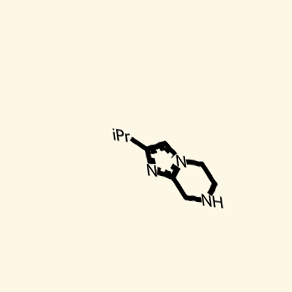 CC(C)c1cn2c(n1)CNCC2